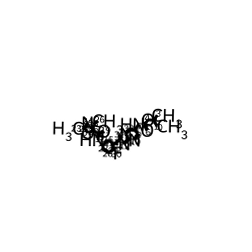 CCC(C)OC(=O)Nc1cnc2nc(-c3cc(NC(=O)c4oc(C)nc4C)ccc3F)cn2c1